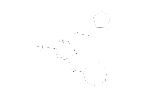 Nc1nc(NCC2CCCO2)nc(NC2CCCCCC2)n1